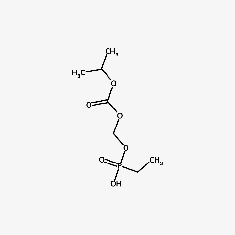 CCP(=O)(O)OCOC(=O)OC(C)C